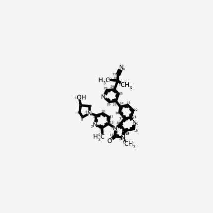 Cc1nc(N2CCC(O)C2)ccc1-n1c(=O)n(C)c2cnc3ccc(-c4cncc(C(C)(C)C#N)c4)cc3c21